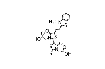 CN1C(=CC=c2s/c(=C3/SC(=S)N(CC(=O)O)C3=O)n(CC(=O)O)c2=O)Sc2ccccc21